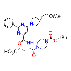 CCCCOC(=O)N1CCN(C(=O)[C@H](CCC(=O)O)NC(=O)c2cc(N3CC4C(COC)C4C3)nc(-c3ccccc3)n2)CC1